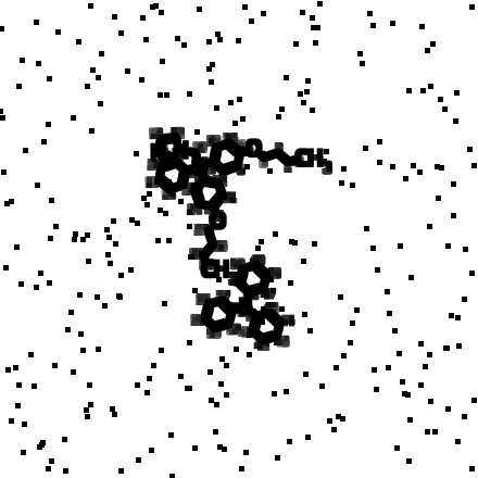 CCCCOc1ccc([Si](Cn2ccnc2)(c2ccccc2)c2ccc(OCCCC)cc2)cc1.c1ccc(B(c2ccccc2)c2ccccc2)cc1